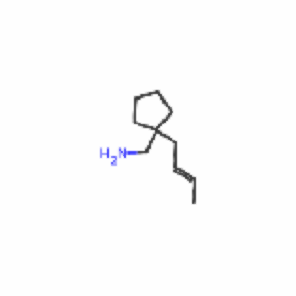 CC=CCC1(CN)CCCC1